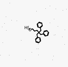 [Hf][O]CCCC(Cc1ccccc1)(Cc1ccccc1)Cc1ccccc1